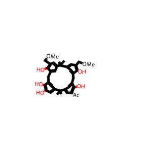 COCc1cc2cc(c1O)Cc1cc(cc(O)c1O)C(C)(C)c1cc(c(O)c(C(C)=O)c1)Cc1cc(cc(COC)c1O)C2(C)C